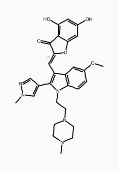 COc1ccc2c(c1)c(/C=C1\Oc3cc(O)cc(O)c3C1=O)c(-c1cnn(C)c1)n2CCN1CCN(C)CC1